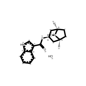 CN1[C@@H]2CC[C@H]1C[C@@H](OC(=O)c1c[nH]c3ccccc13)C2.Cl